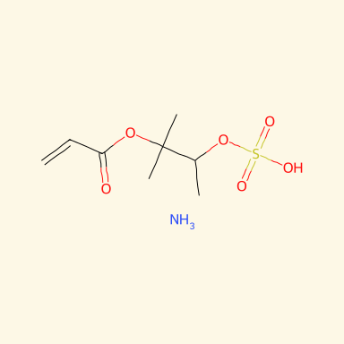 C=CC(=O)OC(C)(C)C(C)OS(=O)(=O)O.N